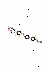 CCCCOc1ccc(-c2ccc(COc3ccc(C4CCC(OCCCC)CC4)c(F)c3F)cc2)cc1F